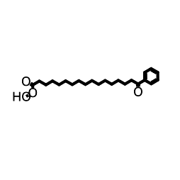 O=C(CCCCCCCCCCCCCCCC(=O)c1ccccc1)OO